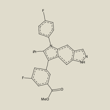 COC(=O)c1cc(F)cc(-c2c(C(C)C)n(-c3ccc(F)cc3)c3cc4cn[nH]c4cc23)c1